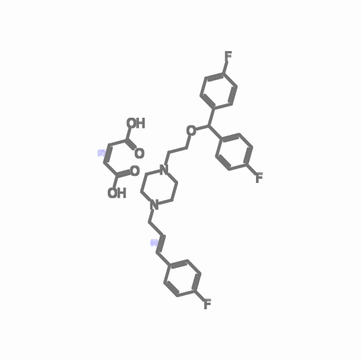 Fc1ccc(/C=C/CN2CCN(CCOC(c3ccc(F)cc3)c3ccc(F)cc3)CC2)cc1.O=C(O)/C=C\C(=O)O